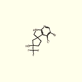 OC1(C(F)(F)F)CCC2(CNc3ncc(Br)c(Cl)c32)C1